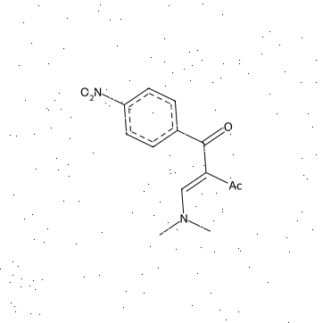 CC(=O)C(=CN(C)C)C(=O)c1ccc([N+](=O)[O-])cc1